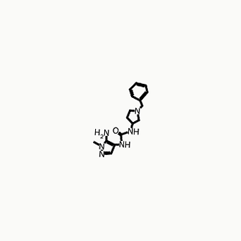 Cn1ncc(NC(=O)NC2CCN(Cc3ccccc3)C2)c1N